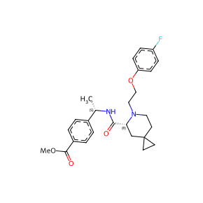 COC(=O)c1ccc([C@H](C)NC(=O)[C@H]2CC3(CCN2CCOc2ccc(F)cc2)CC3)cc1